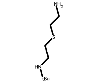 CC(C)(C)NCCSCCN